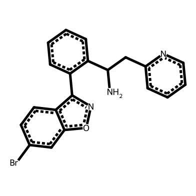 NC(Cc1ccccn1)c1ccccc1-c1noc2cc(Br)ccc12